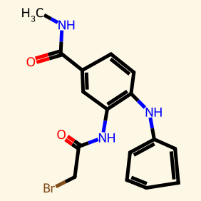 CNC(=O)c1ccc(Nc2ccccc2)c(NC(=O)CBr)c1